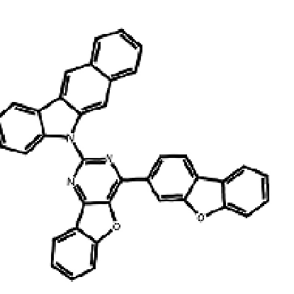 c1ccc2cc3c(cc2c1)c1ccccc1n3-c1nc(-c2ccc3c(c2)oc2ccccc23)c2oc3ccccc3c2n1